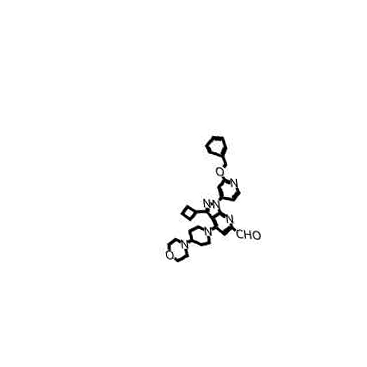 O=Cc1cc(N2CCC(N3CCOCC3)CC2)c2c(C3CCC3)nn(-c3ccnc(OCc4ccccc4)c3)c2n1